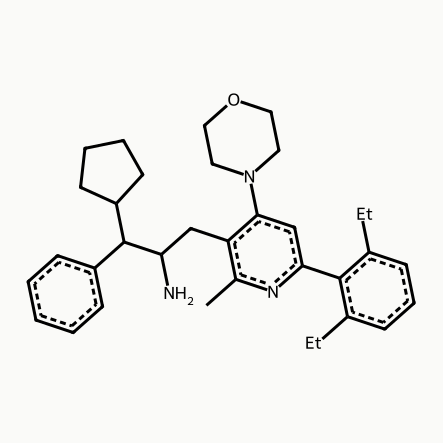 CCc1cccc(CC)c1-c1cc(N2CCOCC2)c(CC(N)C(c2ccccc2)C2CCCC2)c(C)n1